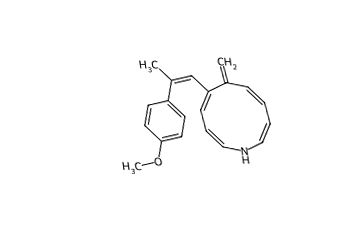 C=C1/C=C\C=C/N\C=C/C=C1/C=C(/C)c1ccc(OC)cc1